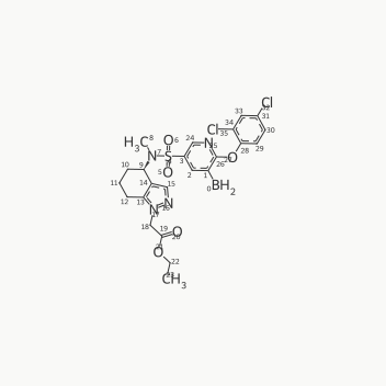 Bc1cc(S(=O)(=O)N(C)[C@@H]2CCCc3c2cnn3CC(=O)OCC)cnc1Oc1ccc(Cl)cc1Cl